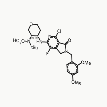 COc1ccc(CN2Cc3c(F)c(N[C@@H]4CCOC[C@@H]4N(C(=O)O)C(C)(C)C)nc(Cl)c3C2=O)c(OC)c1